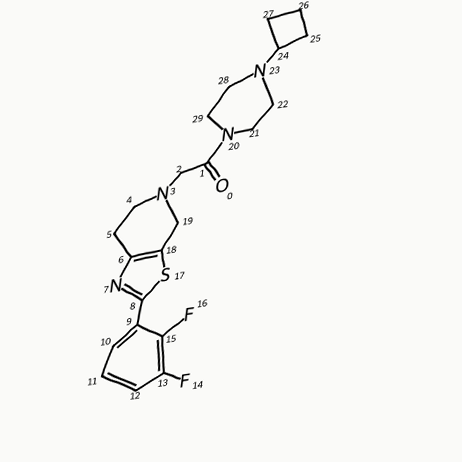 O=C(CN1CCc2nc(-c3cccc(F)c3F)sc2C1)N1CCN(C2CCC2)CC1